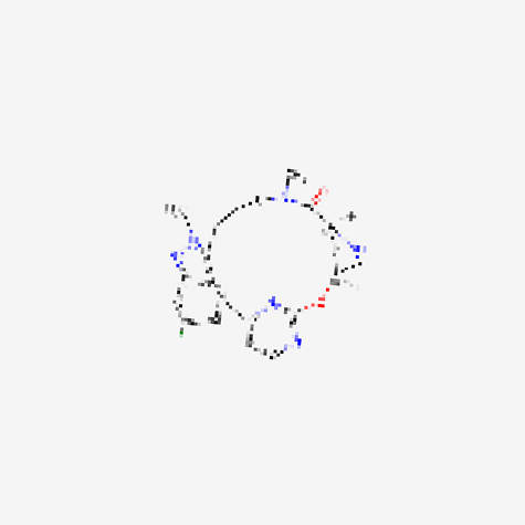 CN1CCCc2c3c(cc(F)cc3nn2C)-c2ccnc(n2)O[C@@H]2CN[C@@H](C2)C1=O